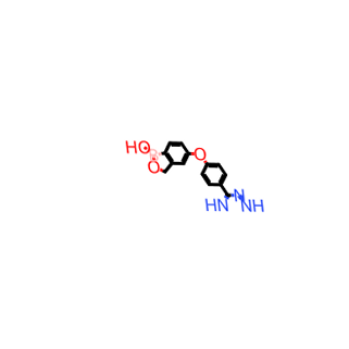 N=NC(=N)c1ccc(Oc2ccc3c(c2)COB3O)cc1